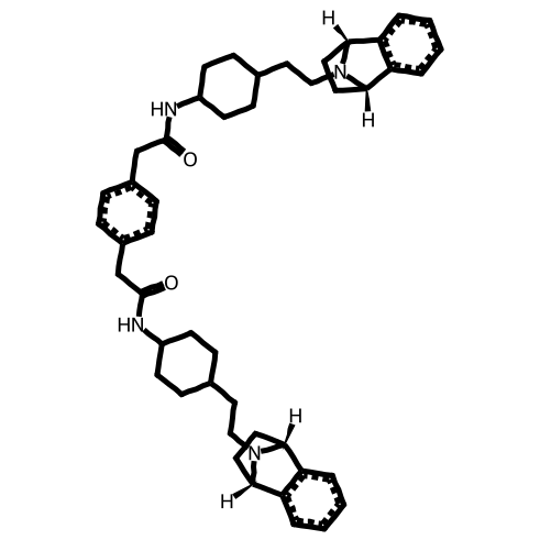 O=C(Cc1ccc(CC(=O)NC2CCC(CCN3[C@@H]4CC[C@H]3c3ccccc34)CC2)cc1)NC1CCC(CCN2[C@@H]3CC[C@H]2c2ccccc23)CC1